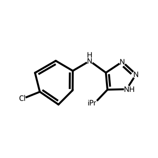 CC(C)c1[nH]nnc1Nc1ccc(Cl)cc1